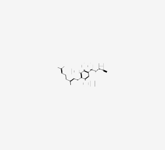 C#CCCCc1cc(O)c(C/C=C(\C)CCC=C(C)C)c(O)c1C(=O)O